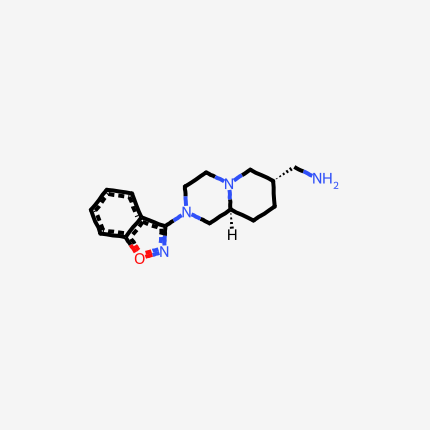 NC[C@@H]1CC[C@H]2CN(c3noc4ccccc34)CCN2C1